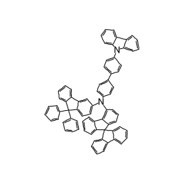 c1ccc(C2(c3ccccc3)c3ccccc3-c3cc(N(c4ccc(-c5ccc(-n6c7ccccc7c7ccccc76)cc5)cc4)c4cccc5c4-c4ccccc4C54c5ccccc5-c5ccccc54)ccc32)cc1